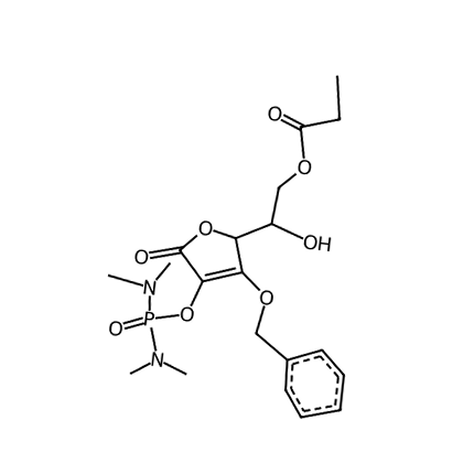 CCC(=O)OCC(O)C1OC(=O)C(OP(=O)(N(C)C)N(C)C)=C1OCc1ccccc1